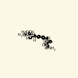 COC(=O)N[C@H](C(=O)N1CCCC1c1ncc(-c2ccc(-c3ccc(-c4cnc([C@@H]5CCCN5C(=O)[C@H](CC(N)=O)NC(=O)O)[nH]4)cc3)cc2)[nH]1)C(C)C